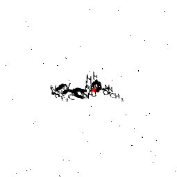 Cc1nnc([C@]23C[C@H](C)C[C@H](C2)N3C(=O)Nc2cc(-c3cn4ncnc4cn3)c(C(F)(F)F)cn2)o1